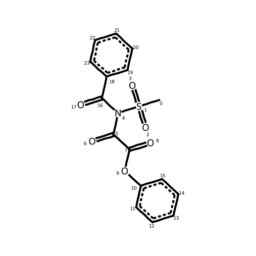 CS(=O)(=O)N(C(=O)C(=O)Oc1ccccc1)C(=O)c1ccccc1